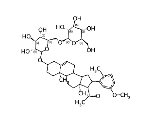 COc1ccc(C)c(C2CC3C4CC=C5CC(OC6O[C@H](CO[C@@H]7O[C@H](CO)[C@@H](O)[C@H](O)[C@H]7O)[C@@H](O)[C@H](O)[C@H]6O)CCC5(C)C4CCC3(C)C2C(C)=O)c1